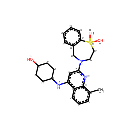 Cc1cccc2c(NC3CCC(O)CC3)cc(N3CCS(O)(O)c4ccccc4C3)nc12